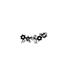 COc1ccccc1-c1cc(COC(=O)Nc2ccc3c(c2)nc2n3CCOC2)n(C)n1